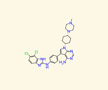 CN1CCN([C@H]2CC[C@@H](n3cc(-c4ccc(Nc5nc6ccc(Cl)c(Cl)c6[nH]5)cc4)c4c(N)ncnc43)CC2)CC1